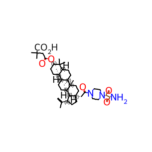 C=C(C)[C@@H]1CC[C@]2(CC(=O)N3CCN(S(N)(=O)=O)CC3)CC[C@]3(C)[C@H](CC[C@@H]4[C@@]5(C)CC[C@H](OC(=O)CC(C)(C)C(=O)O)C(C)(C)[C@@H]5CC[C@]43C)[C@@H]12